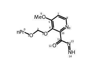 CCCOCOc1c(OC)ccnc1C(=O)N=N